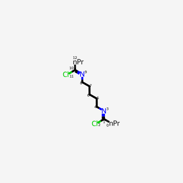 CCCC(Cl)=NCCCCCN=C(Cl)CCC